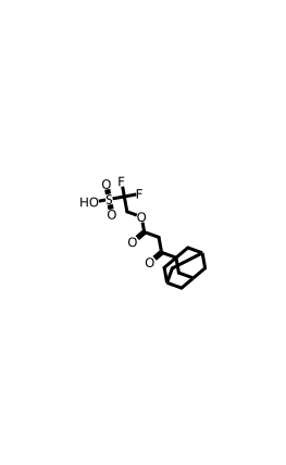 O=C(CC(=O)C12CC3CC(CC(C3)C1)C2)OCC(F)(F)S(=O)(=O)O